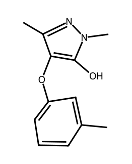 Cc1cccc(Oc2c(C)nn(C)c2O)c1